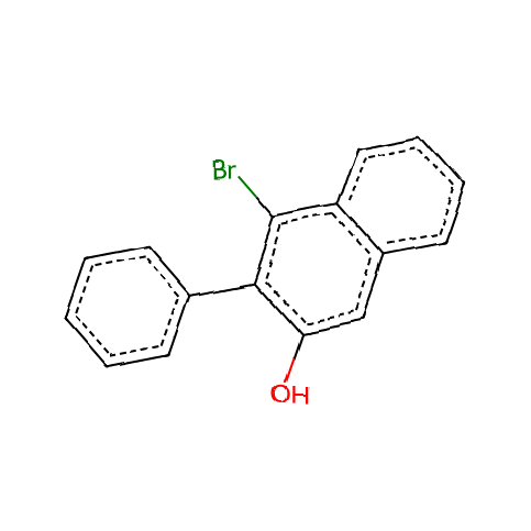 Oc1cc2ccccc2c(Br)c1-c1ccccc1